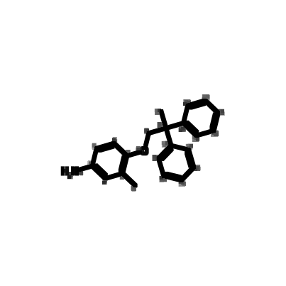 Cc1cc(N)ccc1OCC(C)(c1ccccc1)c1ccccc1